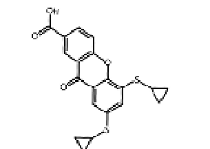 O=C(O)c1ccc2oc3c(SC4CC4)cc(SC4CC4)cc3c(=O)c2c1